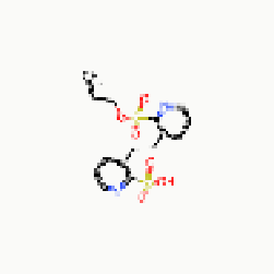 C=CCOS(=O)(=O)c1ncccc1CCc1cccnc1S(=O)(=O)O